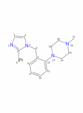 CC(C)c1nccn1Cc1ccccc1N1CCN(C)CC1